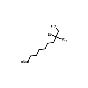 CCCCCCCCCCCCCCCC(CC)(CO)[N+](=O)[O-]